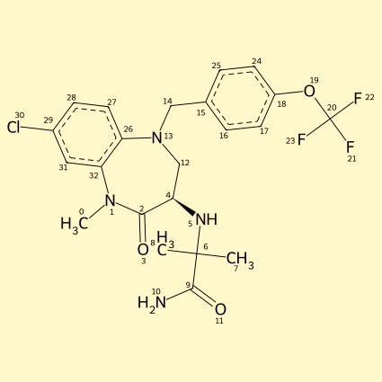 CN1C(=O)[C@H](NC(C)(C)C(N)=O)CN(Cc2ccc(OC(F)(F)F)cc2)c2ccc(Cl)cc21